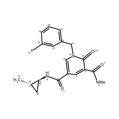 CNC(=O)c1cc(C(=O)N[C@H]2C[C@@H]2C)cn(Cc2cccc(F)c2)c1=O